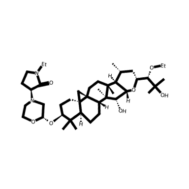 CCO[C@@H]([C@H]1C[C@@H](C)[C@H]2[C@H](O1)[C@H](O)[C@@]1(C)[C@@H]3CC[C@H]4C(C)(C)[C@@H](O[C@H]5CN([C@H]6CCN(CC)C6=O)CCO5)CC[C@@]45C[C@@]35CC[C@]21C)C(C)(C)O